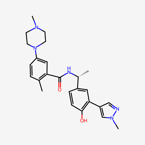 Cc1ccc(N2CCN(C)CC2)cc1C(=O)N[C@H](C)c1ccc(O)c(-c2cnn(C)c2)c1